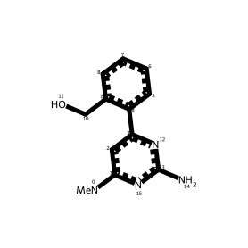 CNc1cc(-c2ccccc2CO)nc(N)n1